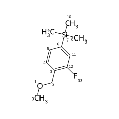 COCc1ccc([Si](C)(C)C)cc1F